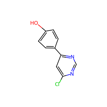 Oc1ccc(-c2cc(Cl)ncn2)cc1